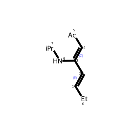 CC/C=C/C(=C/C(C)=O)NC(C)C